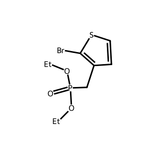 CCOP(=O)(Cc1ccsc1Br)OCC